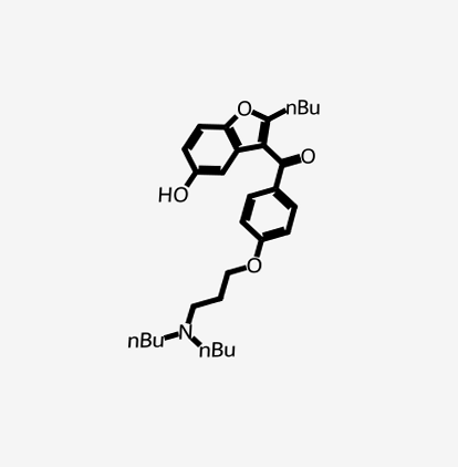 CCCCc1oc2ccc(O)cc2c1C(=O)c1ccc(OCCCN(CCCC)CCCC)cc1